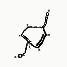 O=C1C=C[N+]([O-])=CC1